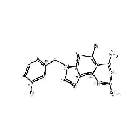 Nc1nc(N)c2c(Br)cc3c(ccn3Cc3cccc(Br)c3)c2n1